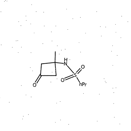 CCCS(=O)(=O)NC1(C)CC(=O)C1